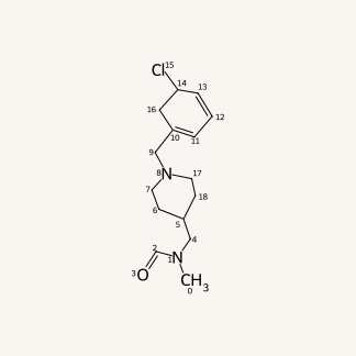 CN(C=O)CC1CCN(CC2=CC=CC(Cl)C2)CC1